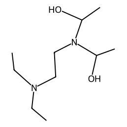 CCN(CC)CCN(C(C)O)C(C)O